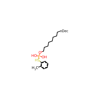 CCCCCCCCCCCCCCCCCCOP(O)(O)=[SH]c1ccccc1C